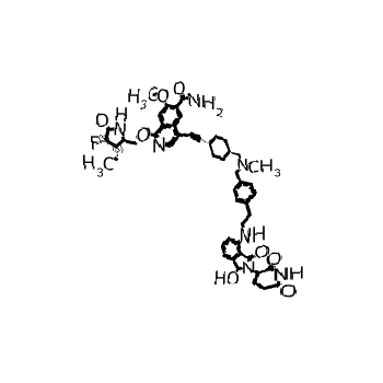 CC[C@H]1C(COc2ncc(C#C[C@H]3CC[C@H](CN(C)Cc4ccc(CCNc5cccc6c5C(=O)N(C5CCC(=O)NC5=O)C6O)cc4)CC3)c3cc(C(N)=O)c(OC)cc23)NC(=O)[C@H]1F